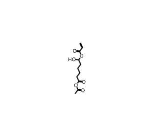 C=CC(=O)OC(O)CCCCC(=O)OC(C)=O